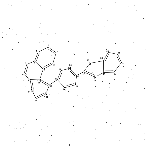 c1ccc2c(c1)ccc1ncnc(-c3ccc(-c4nc5ccccc5s4)nc3)c12